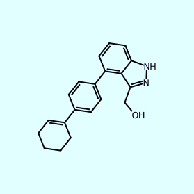 OCc1n[nH]c2cccc(-c3ccc(C4=CCCCC4)cc3)c12